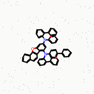 c1ccc(-c2ccc(N(c3ccccc3-c3ccccc3)c3cc(N(c4ccccc4)c4ccccc4-c4ccccc4)cc4oc5c6ccccc6ccc5c34)cc2)cc1